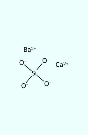 [Ba+2].[Ca+2].[O-][Si]([O-])([O-])[O-]